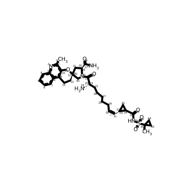 Cc1nc2ccccc2c2c1O[C@]1(CC2)C[C@@H](C(N)=O)N(C(=O)[C@@H](N)CCCCC/C=C\[C@@H]2CC2C(=O)NS(=O)(=O)C2(C)CC2)C1